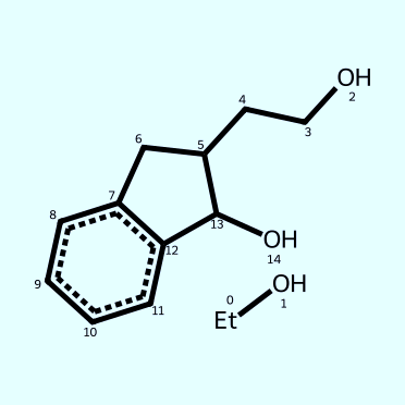 CCO.OCCC1Cc2ccccc2C1O